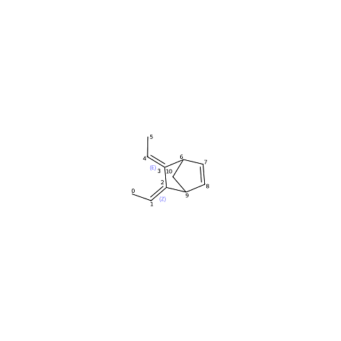 C/C=C1\C(=C\C)C2C=CC1C2